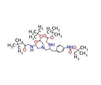 CC(C)(C)CC(=O)CNCCN(CC(=O)OC(C)(C)C)CC(Cc1ccc(NC(=O)OC(C)(C)C)cc1)NCC(=O)OC(C)(C)C